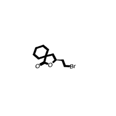 O=C1O[C@H](CCBr)CC12CCCCC2